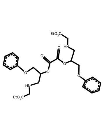 CCOC(=O)CNCC(COc1ccccc1)OC(=O)C(=O)OC(CNCC(=O)OCC)COc1ccccc1